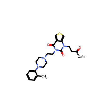 COC(=O)CCn1c(=O)n(CCN2CCN(c3ccccc3C)CC2)c(=O)c2cscc21